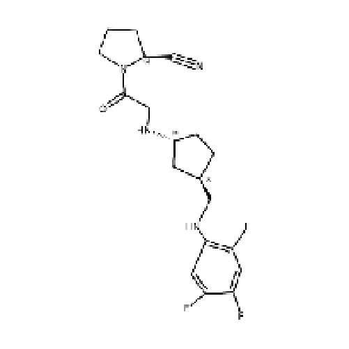 N#C[C@@H]1CCCN1C(=O)CN[C@@H]1CC[C@@H](CNc2cc(F)c(F)cc2F)C1